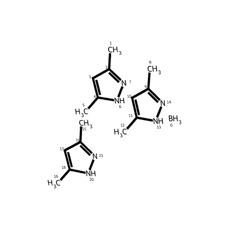 B.Cc1cc(C)[nH]n1.Cc1cc(C)[nH]n1.Cc1cc(C)[nH]n1